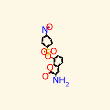 Nc1cc2cccc(OS(=O)(=O)c3ccc(N=O)cc3)c2oc1=O